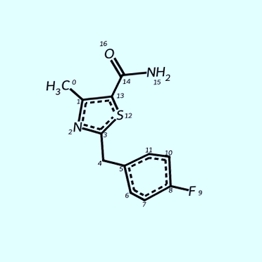 Cc1nc(Cc2ccc(F)cc2)sc1C(N)=O